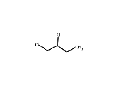 CCC(Cl)[CH]Cl